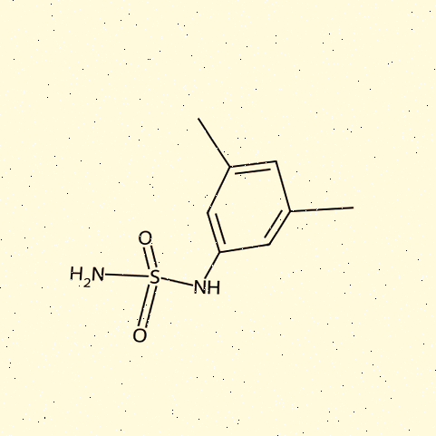 Cc1cc(C)cc(NS(N)(=O)=O)c1